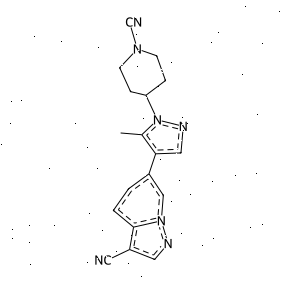 Cc1c(-c2ccc3c(C#N)cnn3c2)cnn1C1CCN(C#N)CC1